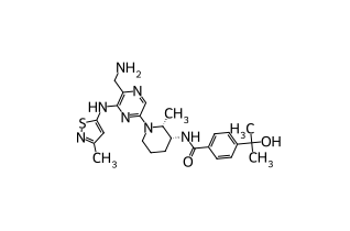 Cc1cc(Nc2nc(N3CCC[C@@H](NC(=O)c4ccc(C(C)(C)O)cc4)[C@H]3C)cnc2CN)sn1